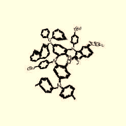 Cc1ccc(N(c2ccc(C)cc2)c2ccc3c(c2)N(c2ccc(C(C)(C)C)cc2)c2cc([Si](c4ccccc4)(c4ccccc4)c4ccc5ccccc5c4)cc4c2B3c2sc3ccc(C(C)(C)C)cc3c2N4c2ccc(C(C)(C)C)cc2)cc1